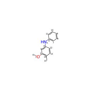 COc1cc(Nc2ccccc2)ccc1C